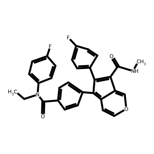 CCN(C(=O)c1ccc(-c2c3ccocc-3c(C(=O)NC)c2-c2ccc(F)cc2)cc1)c1ccc(F)cc1